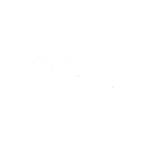 CCOC(=O)/C(=N\OCC(N)=O)c1csc(N)n1